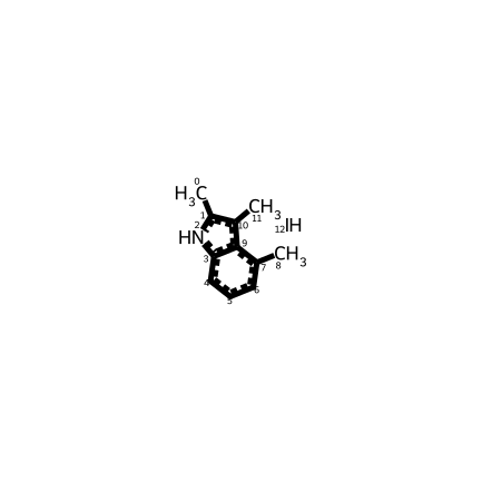 Cc1[nH]c2cccc(C)c2c1C.I